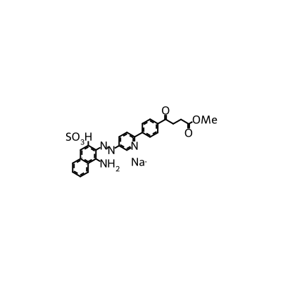 COC(=O)CCC(=O)c1ccc(-c2ccc(N=Nc3c(S(=O)(=O)O)cc4ccccc4c3N)cn2)cc1.[Na]